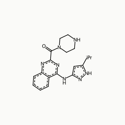 CC(C)c1cc(Nc2nc(C(=O)N3CCNCC3)nc3ccccc23)n[nH]1